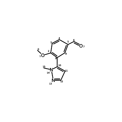 COc1ccc(C=O)cc1-c1ccnn1C